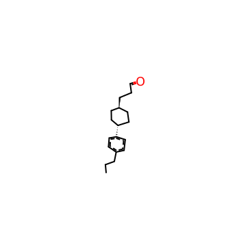 CCCc1ccc([C@H]2CC[C@H](CCC=O)CC2)cc1